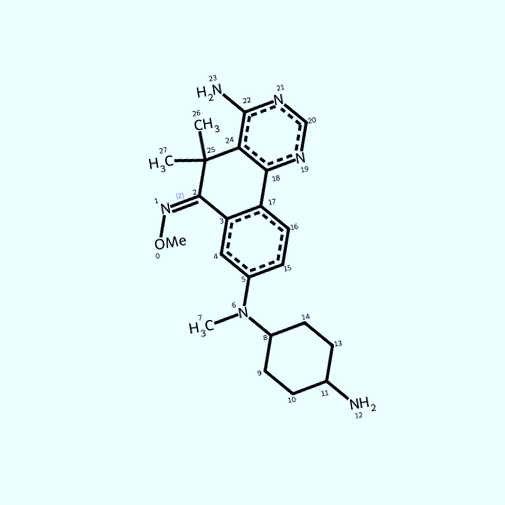 CO/N=C1\c2cc(N(C)C3CCC(N)CC3)ccc2-c2ncnc(N)c2C1(C)C